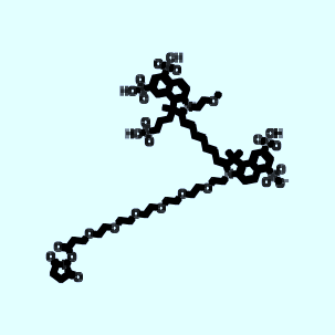 COCC[N+]1=C(/C=C/C=C/C=C/C=C2/N(CCOCCOCCOCCOCCOCCOCCC(=O)ON3C(=O)CCC3=O)c3ccc4c(S(=O)(=O)[O-])cc(S(=O)(=O)O)cc4c3C2(C)C)C(C)(CCCS(=O)(=O)O)c2c1ccc1c(S(=O)(=O)O)cc(S(=O)(=O)O)cc21